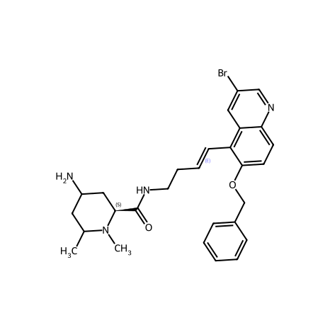 CC1CC(N)C[C@@H](C(=O)NCC/C=C/c2c(OCc3ccccc3)ccc3ncc(Br)cc23)N1C